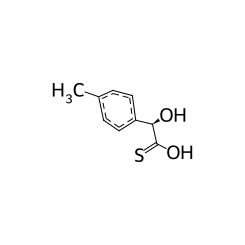 Cc1ccc([C@@H](O)C(O)=S)cc1